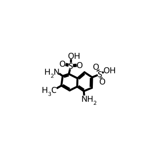 Cc1cc2c(N)cc(S(=O)(=O)O)cc2c(S(=O)(=O)O)c1N